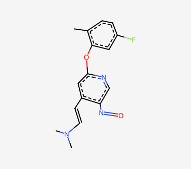 Cc1ccc(F)cc1Oc1cc(/C=C/N(C)C)c(N=O)cn1